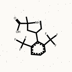 CCC(CC(C)(N)C(=O)O)c1c(C(F)(F)F)cccc1C(F)(F)F